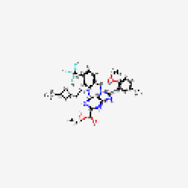 COC(=O)c1nc(NCCC2CC(C)C2)c2c(n1)nc(-c1cc(C)ccc1OC)n2Cc1ccc(C(F)(F)F)cc1